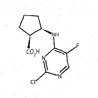 O=C(O)[C@H]1CCC[C@H]1Nc1nc(Cl)ncc1F